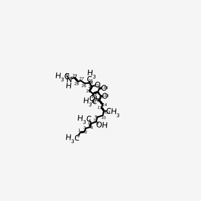 C/C=C/C/C=C(\C)C(O)CC/C(C)=C/C=C(\C)C(=O)c1c(O)cc(C(C)CC/C=C/NC)oc1=O